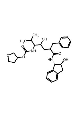 CC(C)C(NC(=O)OC1CCOC1)C(O)CC(Cc1ccccc1)C(=O)N[C@H]1c2ccccc2C[C@@H]1O